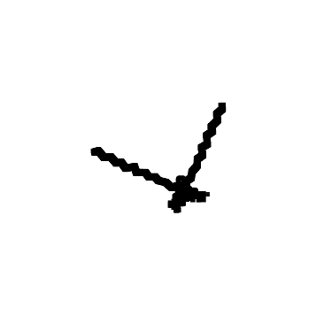 CCCCCCCCCCCCCCCC(=O)C(C[N+](C)(C)C)(O[PH-])C(=O)CCCCCCCCCCCCCCC